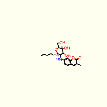 CCCCC[C@@H]1OC(CO)[C@@H](O)C(O)C1Nc1ccc2cc(C)c(=O)oc2c1